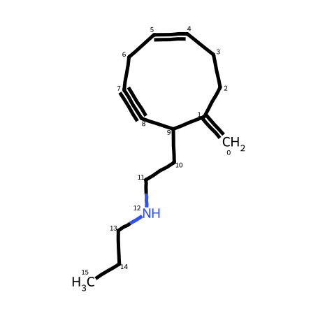 C=C1CC/C=C\CC#CC1CCNCCC